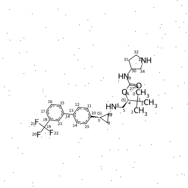 CC(C)(C)[C@@H](CN[C@@H]1C[C@H]1c1ccc(-c2cccc(C(F)(F)F)c2)cc1)OC(=O)NC1CCNC1